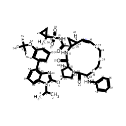 CC(C)n1c(O[C@@H]2C[C@H]3C(=O)N[C@]4(C(=O)NS(=O)(=O)C5(C)CC5)C[C@H]4/C=C\CCCCC[C@H](Nc4ccccc4)C(=O)N3C2)nc2c(-c3cccc(OC(F)(F)F)c3)cccc21